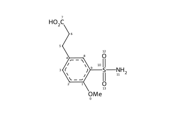 COc1ccc(CCC(=O)O)cc1S(N)(=O)=O